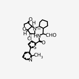 Cc1ncccc1-c1ccc(C(=O)NC(C=O)C2CCCC[C@@H]2N2C[C@H](Cl)[C@H]3OCC(=O)[C@H]32)s1